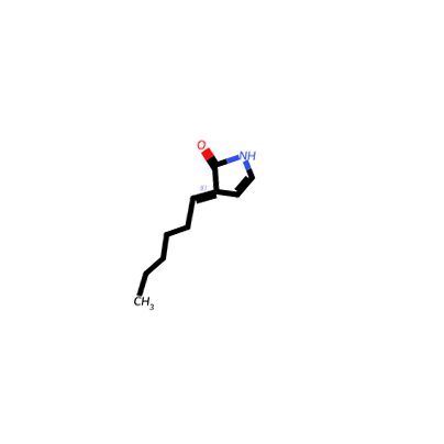 CCCCC/C=C1\C=CNC1=O